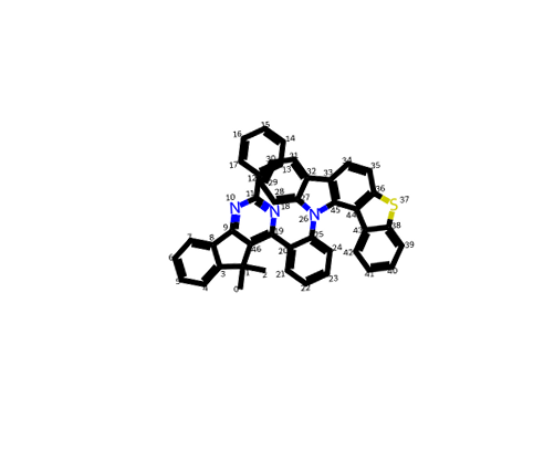 CC1(C)c2ccccc2-c2nc(-c3ccccc3)nc(-c3ccccc3-n3c4ccccc4c4ccc5sc6ccccc6c5c43)c21